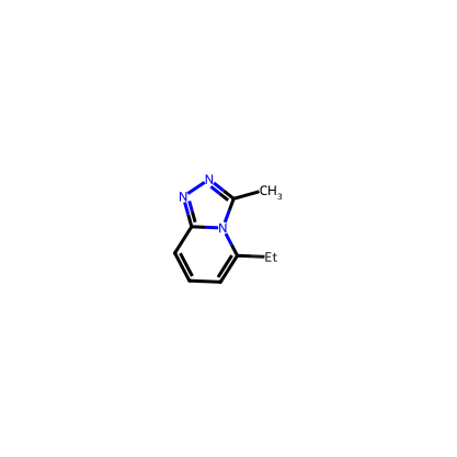 CCc1cccc2nnc(C)n12